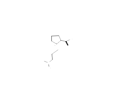 O=C(O)C1CCC[C@H]1CCCB(O)O